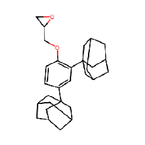 c1cc(OCC2CO2)c(C23CC4CC(CC(C4)C2)C3)cc1C12CC3CC(CC(C3)C1)C2